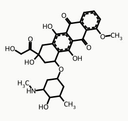 CNC1CC(OC2CC(O)(C(=O)CO)Cc3c(O)c4c(c(O)c32)C(=O)c2c(OC)cccc2C4=O)CC(C)C1O